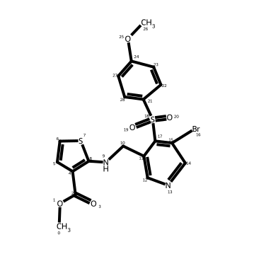 COC(=O)c1ccsc1NCc1cncc(Br)c1S(=O)(=O)c1ccc(OC)cc1